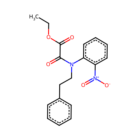 CCOC(=O)C(=O)N(CCc1ccccc1)c1ccccc1[N+](=O)[O-]